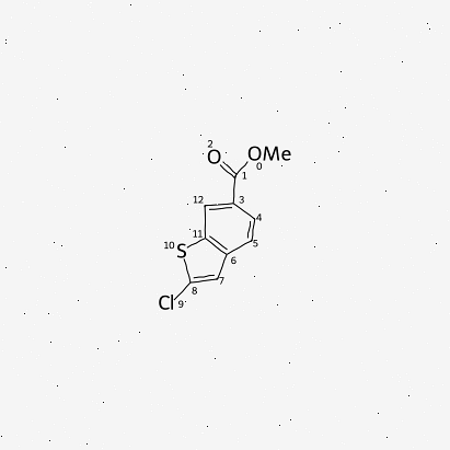 COC(=O)c1ccc2cc(Cl)sc2c1